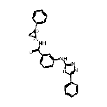 O=C(N[C@@H]1C[C@H]1c1ccccc1)c1cccc(Nc2nnc(-c3ccccc3)o2)c1